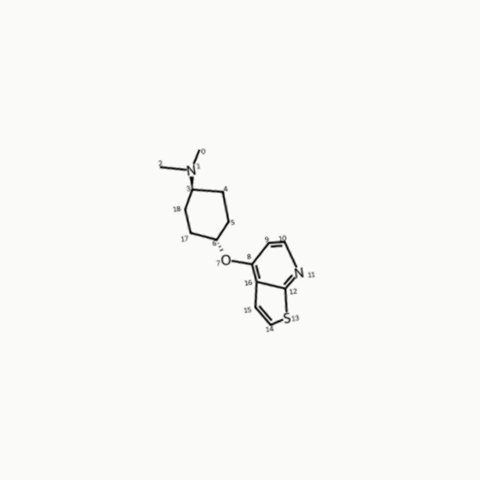 CN(C)[C@H]1CC[C@H](Oc2ccnc3sccc23)CC1